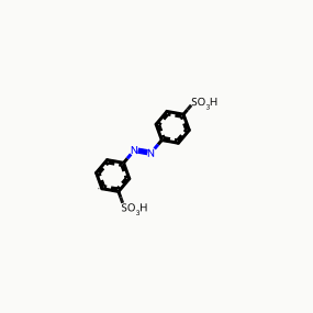 O=S(=O)(O)c1[c]ccc(N=Nc2ccc(S(=O)(=O)O)cc2)c1